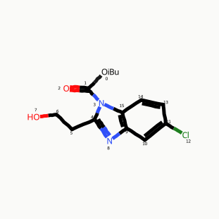 CC(C)COC(=O)n1c(CCO)nc2cc(Cl)ccc21